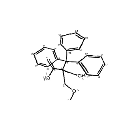 COCC(O)(C(=O)O)C(c1ccccc1)(c1ccccc1)c1ccccc1